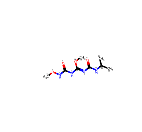 CONC(=O)NC(=NC(=O)NC(C)C)OC